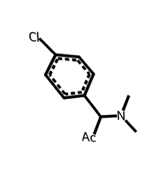 CC(=O)C(c1ccc(Cl)cc1)N(C)C